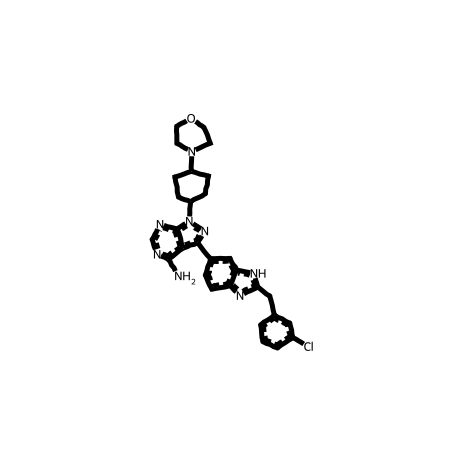 Nc1ncnc2c1c(-c1ccc3nc(Cc4cccc(Cl)c4)[nH]c3c1)nn2C1CCC(N2CCOCC2)CC1